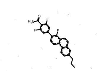 CCCc1ccc2c(ccc3c(F)c(-c4cc(F)c(C(N)=O)c(F)c4)ccc32)c1